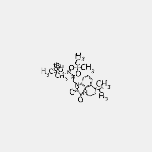 CC1(C)O[C@@H](CO[Si](C)(C)C(C)(C)C)[C@H](Cn2c(=O)c(=O)n3c4c(cccc42)C(C)(C)CC3)O1